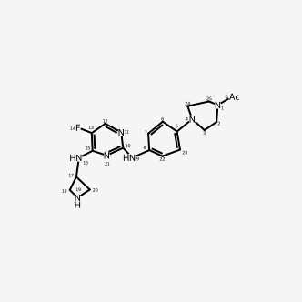 CC(=O)N1CCN(c2ccc(Nc3ncc(F)c(NC4CNC4)n3)cc2)CC1